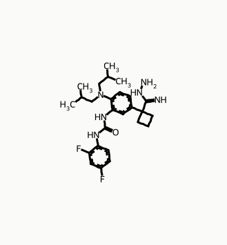 CC(C)CN(CC(C)C)c1ccc(C2(C(=N)NN)CCC2)cc1NC(=O)Nc1ccc(F)cc1F